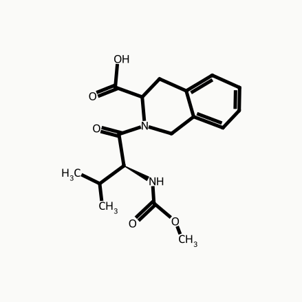 COC(=O)N[C@H](C(=O)N1Cc2ccccc2CC1C(=O)O)C(C)C